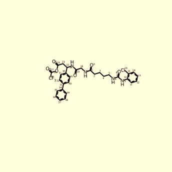 O=C(CCCCNC(=O)Nc1ccccc1Cl)NCC(=O)NC(CC(=O)OC(=O)C(F)(F)F)c1ccc(-c2ccccc2)cc1